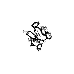 Clc1ccccc1-c1cc2c(-c3nc(N[C@@H]4[C@@H]5CC[C@H]4CNC5)c4c(C5CC5)cncc4n3)ccnc2[nH]1